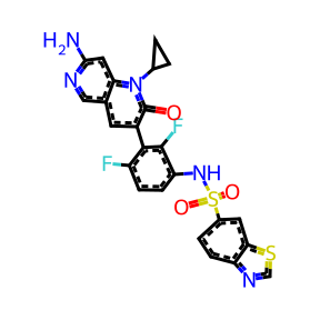 Nc1cc2c(cn1)cc(-c1c(F)ccc(NS(=O)(=O)c3ccc4ncsc4c3)c1F)c(=O)n2C1CC1